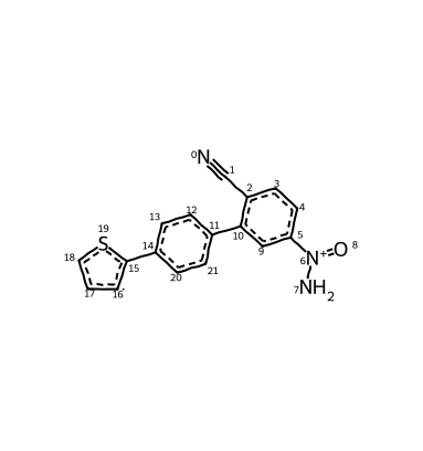 N#Cc1ccc([N+](N)=O)cc1-c1ccc(-c2[c]ccs2)cc1